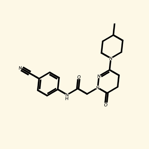 CC1CCN(C2=NN(CC(=O)Nc3ccc(C#N)cc3)C(=O)CC2)CC1